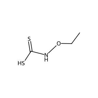 CCONC(=S)S